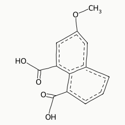 COc1cc(C(=O)O)c2c(C(=O)O)cccc2c1